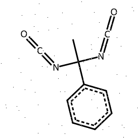 CC(N=C=O)(N=C=O)c1ccccc1